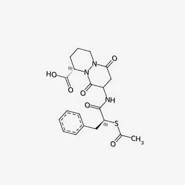 CC(=O)S[C@@H](Cc1ccccc1)C(=O)NC1CC(=O)N2CCC[C@@H](C(=O)O)N2C1=O